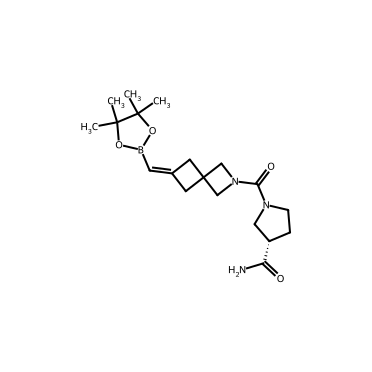 CC1(C)OB(C=C2CC3(C2)CN(C(=O)N2CC[C@H](C(N)=O)C2)C3)OC1(C)C